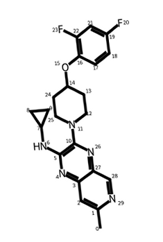 Cc1cc2nc(NC3CC3)c(N3CCC(Oc4ccc(F)cc4F)CC3)nc2cn1